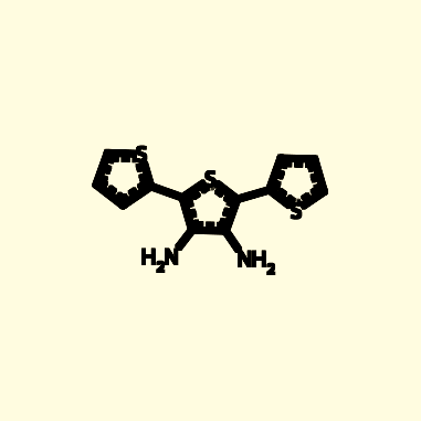 Nc1c(-c2cccs2)sc(-c2cccs2)c1N